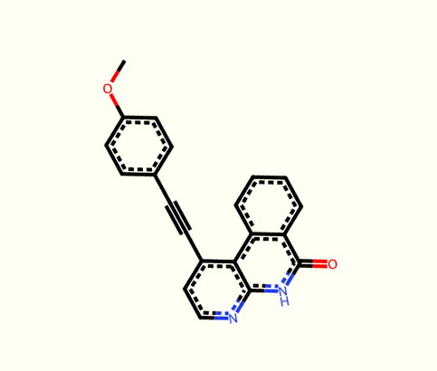 COc1ccc(C#Cc2ccnc3[nH]c(=O)c4ccccc4c23)cc1